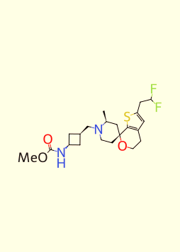 COC(=O)N[C@H]1C[C@@H](CN2CC[C@]3(C[C@@H]2C)OCCc2cc(CC(F)F)sc23)C1